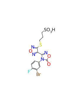 O=c1onc(-c2nonc2SCCCS(=O)(=O)O)n1-c1ccc(F)c(Br)c1